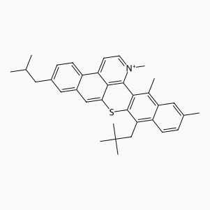 Cc1ccc2c(CC(C)(C)C)c3c(c(C)c2c1)-c1c2c(cc4cc(CC(C)C)ccc4c2cc[n+]1C)S3